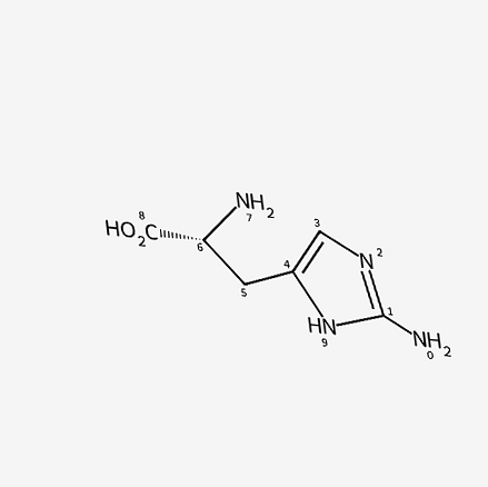 Nc1ncc(C[C@@H](N)C(=O)O)[nH]1